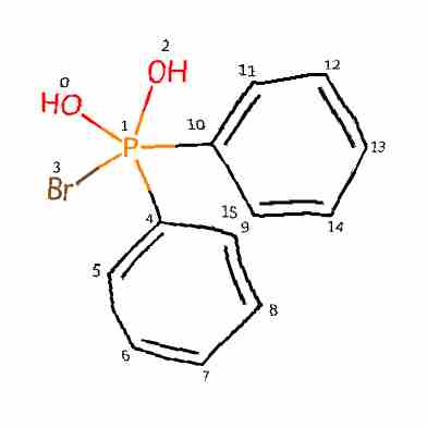 OP(O)(Br)(c1ccccc1)c1ccccc1